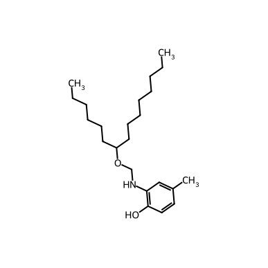 CCCCCCCCC(CCCCCC)OCNc1cc(C)ccc1O